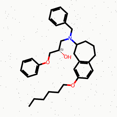 CCCCCCOc1ccc2c(c1)CC(N(Cc1ccccc1)C[C@H](O)COc1ccccc1)CCC2